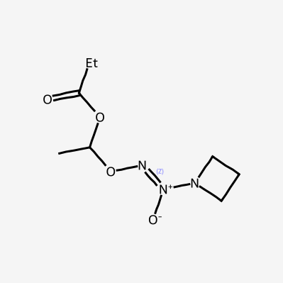 CCC(=O)OC(C)O/N=[N+](\[O-])N1CCC1